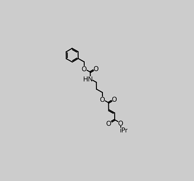 CC(C)OC(=O)/C=C/C(=O)OCCCNC(=O)OCc1ccccc1